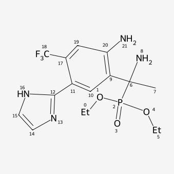 CCOP(=O)(OCC)C(C)(N)c1cc(-c2ncc[nH]2)c(C(F)(F)F)cc1N